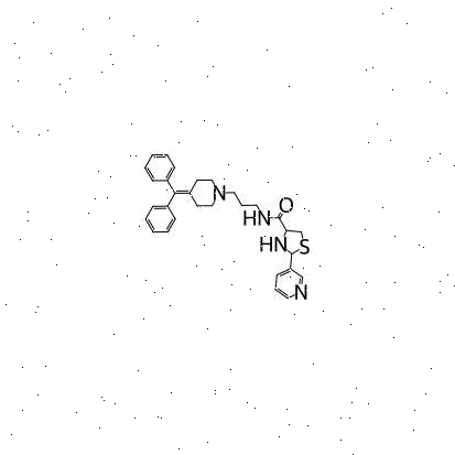 O=C(NCCCN1CCC(=C(c2ccccc2)c2ccccc2)CC1)C1CSC(c2cccnc2)N1